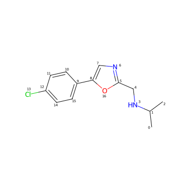 CC(C)NCc1ncc(-c2ccc(Cl)cc2)o1